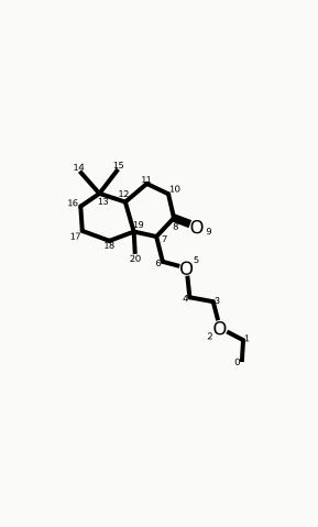 CCOCCOCC1C(=O)CCC2C(C)(C)CCCC12C